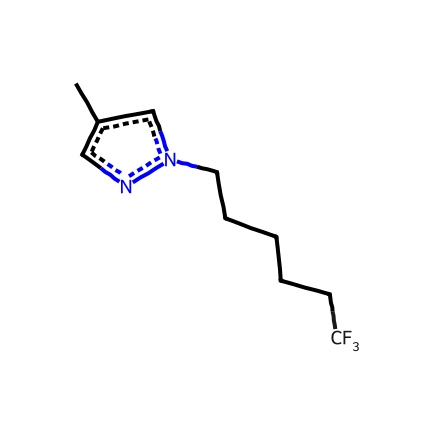 Cc1cnn(CCCCCC(F)(F)F)c1